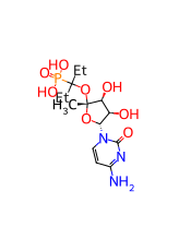 CCC(CC)(O[C@@]1(C)O[C@@H](n2ccc(N)nc2=O)[C@H](O)[C@@H]1O)P(=O)(O)O